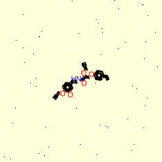 C#CCOc1ccc(CCNC(=O)C(COc2ccc(CC)cc2)OCC#C)cc1OC